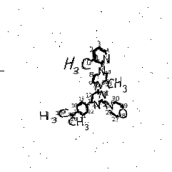 Cc1cccnc1N1CCN(c2cc(-c3ccc(C(C)C)cc3)nc(N3CCOCC3)n2)[C@H](C)C1